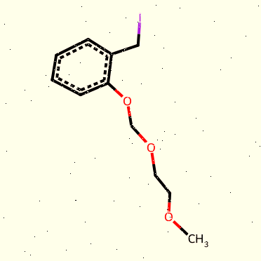 COCCOCOc1ccccc1CI